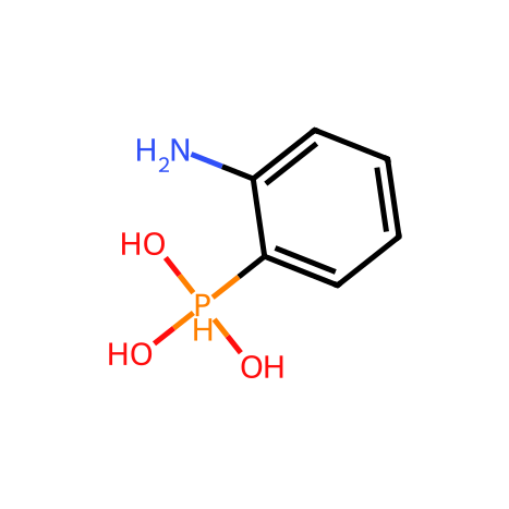 Nc1ccccc1[PH](O)(O)O